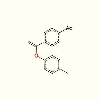 C=C(Oc1ccc(C)cc1)c1ccc(C(C)=O)cc1